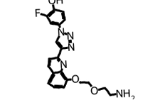 NCCOCCOc1cccc2ccc(-c3cn(-c4ccc(O)c(F)c4)nn3)nc12